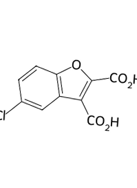 O=C(O)c1oc2ccc(Cl)cc2c1C(=O)O